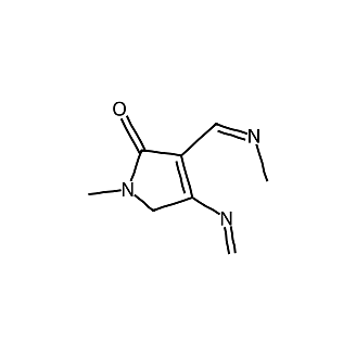 C=NC1=C(/C=N\C)C(=O)N(C)C1